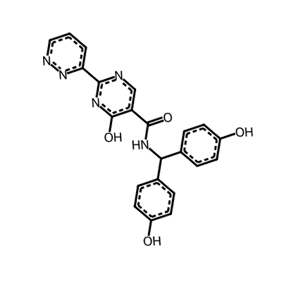 O=C(NC(c1ccc(O)cc1)c1ccc(O)cc1)c1cnc(-c2cccnn2)nc1O